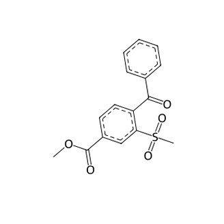 COC(=O)c1ccc(C(=O)c2ccccc2)c(S(C)(=O)=O)c1